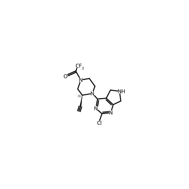 C#C[C@H]1CN(C(=O)C(F)(F)F)CCN1c1nc(Cl)nc2c1CNC2